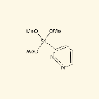 CO[Si](OC)(OC)c1cccnn1